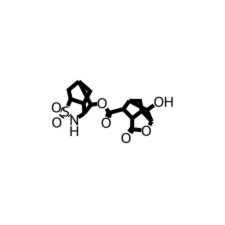 O=C(OC1C2CC3C1NS(=O)(=O)C3C2)C1C2CC3C(OC(=O)C31)C2O